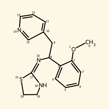 COc1ccccc1C(Cc1cccnc1)/N=C1\NCCS1